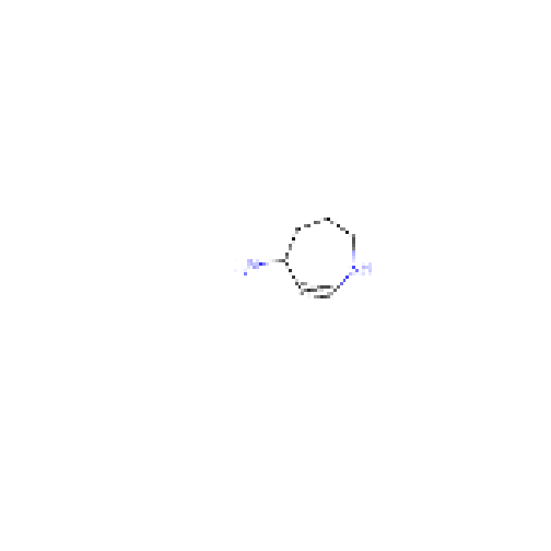 NC1C#CNCCC1